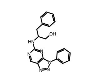 OCC(Cc1ccccc1)Nc1ncc2nnn(-c3ccccc3)c2n1